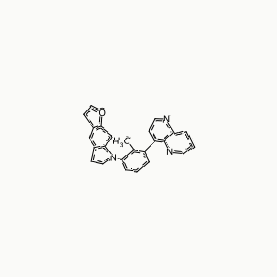 Cc1c(-c2ccnc3cccnc23)cccc1-n1ccc2cc3ccoc3cc21